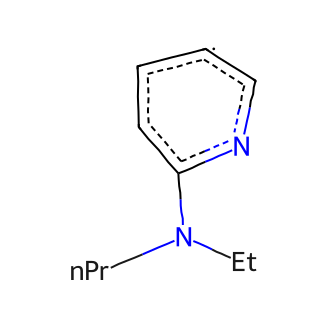 CCCN(CC)c1cc[c]cn1